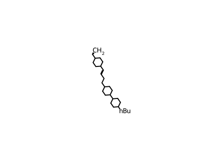 C=CC1CCC(/C=C/CCC2CCC(C3CCC(CCCC)CC3)CC2)CC1